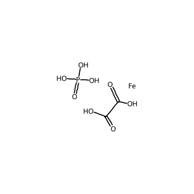 O=C(O)C(=O)O.O=P(O)(O)O.[Fe]